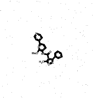 COc1nc(-c2ccncc2)ccc1NC(=O)c1c(-c2ccccc2)noc1C